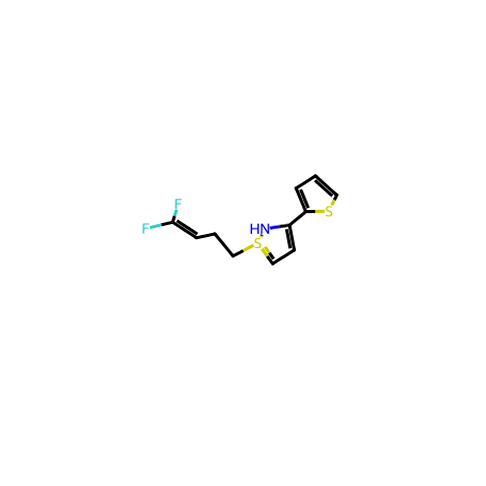 FC(F)=CCCS1=CC=C(c2cccs2)N1